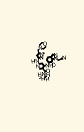 [2H]C([2H])([2H])NC(=O)c1cnc(Nc2cc(CN3CCOCC3)n(C)n2)cc1Nc1ccc2cnn(CC#N)c2c1OC